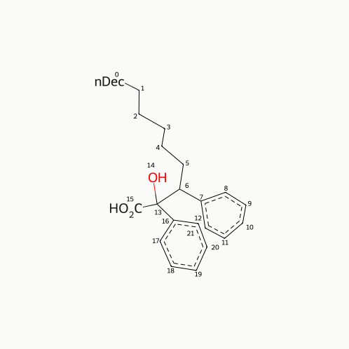 CCCCCCCCCCCCCCCC(c1ccccc1)C(O)(C(=O)O)c1ccccc1